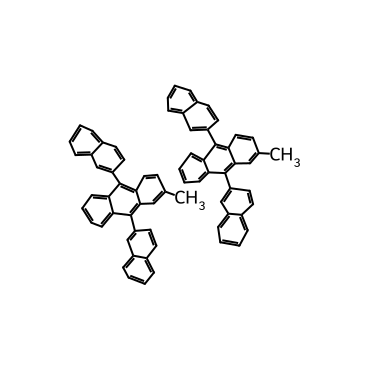 Cc1ccc2c(-c3ccc4ccccc4c3)c3ccccc3c(-c3ccc4ccccc4c3)c2c1.Cc1ccc2c(-c3ccc4ccccc4c3)c3ccccc3c(-c3ccc4ccccc4c3)c2c1